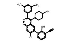 Cc1cc(C)cc(-c2nnc3cc(Cl)c(-c4cccc(C#N)c4O)cc3c2N2CCC(N)CC2)c1